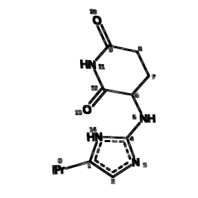 CC(C)c1cnc(NC2CCC(=O)NC2=O)[nH]1